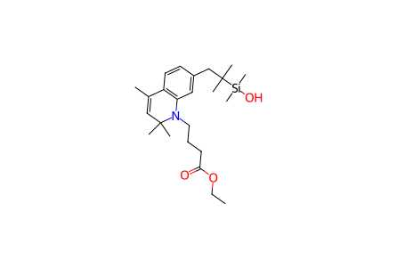 CCOC(=O)CCCN1c2cc(CC(C)(C)[Si](C)(C)O)ccc2C(C)=CC1(C)C